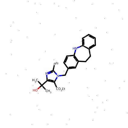 CCCc1nc(C(C)(C)O)c(C(=O)OCC)n1Cc1ccc2c(c1)CCc1ccccc1N2